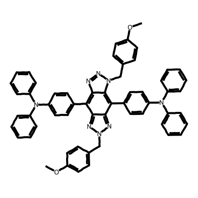 COc1ccc(Cn2nc3c(-c4ccc(N(c5ccccc5)c5ccccc5)cc4)c4nnn(Cc5ccc(OC)cc5)c4c(-c4ccc(N(c5ccccc5)c5ccccc5)cc4)c3n2)cc1